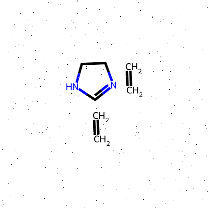 C1=NCCN1.C=C.C=C